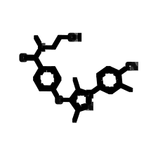 Cc1cc(-n2nc(C)c(Oc3ccc(C(=O)N(C)CCO)cc3)c2C)ccc1C#N